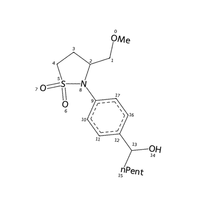 [CH2]OCC1CCS(=O)(=O)N1c1ccc(C(O)CCCCC)cc1